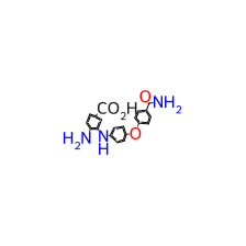 NC(=O)c1ccc(Oc2ccc(Nc3cc(C(=O)O)ccc3N)cc2)cc1